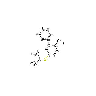 Cc1ccc(SC(C)C)cc1-c1ccccc1